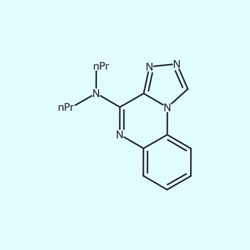 CCCN(CCC)c1nc2ccccc2n2cnnc12